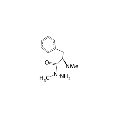 CN[C@H](Cc1ccccc1)C(=O)N(C)N